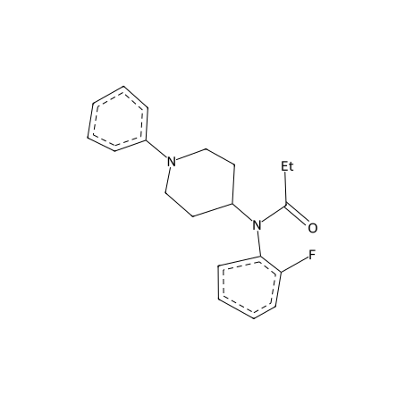 CCC(=O)N(c1ccccc1F)C1CCN(c2ccccc2)CC1